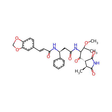 COC(C)C(NC(=O)C[C@H](NC(=O)/C=C/c1ccc2c(c1)OCO2)c1ccccc1)C(=O)[C@@H]1C(=O)NC(=O)[C@H]1C